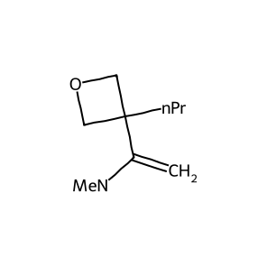 C=C(NC)C1(CCC)COC1